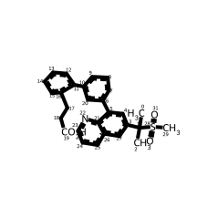 CC(C)(c1cc(-c2cccc(-c3ccccc3CCC(=O)O)c2)c2ncccc2c1)S(C)(=O)=O